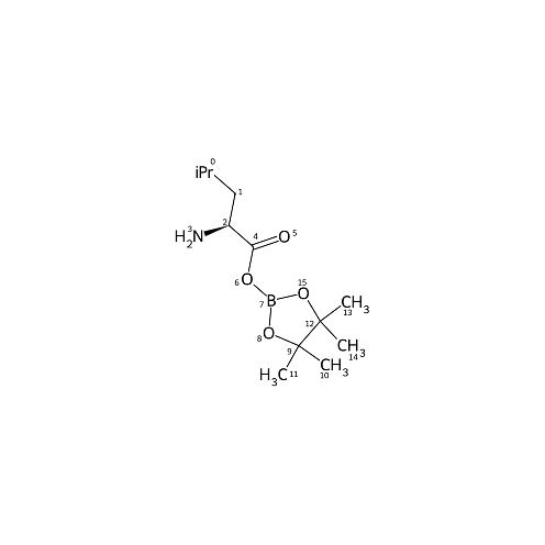 CC(C)C[C@H](N)C(=O)OB1OC(C)(C)C(C)(C)O1